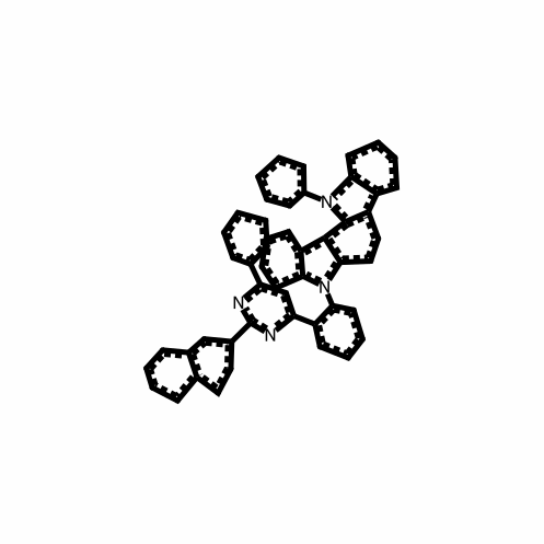 c1ccc(-c2cc(-c3ccccc3-n3c4ccccc4c4c3ccc3c5ccccc5n(-c5ccccc5)c34)nc(-c3ccc4ccccc4c3)n2)cc1